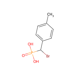 Cc1ccc(C(Br)P(=O)(O)O)cc1